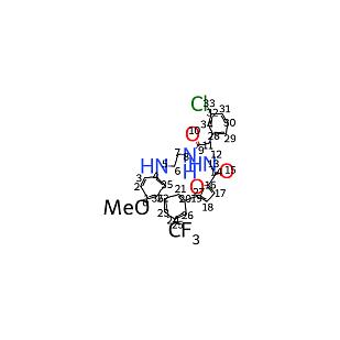 COc1ccc(NCCNC(=O)[C@@H](CNC(=O)c2ccc(-c3cccc(C(F)(F)F)c3)o2)c2cccc(Cl)c2)cc1